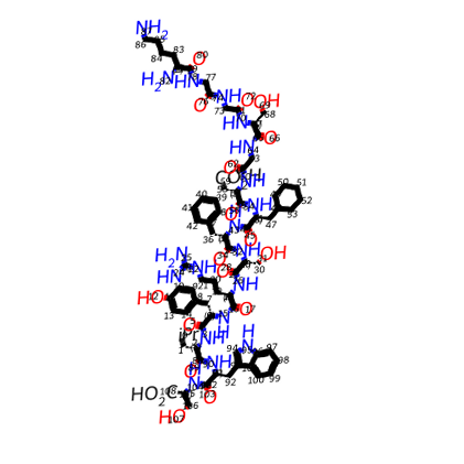 CC(C)C[C@H](NC(=O)[C@H](Cc1ccc(O)cc1)NC(=O)[C@@H](CCCNC(=N)N)NC(=O)[C@@H](CO)NC(=O)[C@H](Cc1ccccc1)NC(=O)[C@H](CC1CCCCC1)NC(=O)[C@H](CC(=O)O)NC(=O)CNC(=O)[C@H](CO)NC(=O)CNC(=O)CNC(=O)[C@@H](N)CCCCN)C(=O)N[C@@H](Cc1c[nH]c2ccccc12)C(=O)N[C@@H](CO)C(=O)O